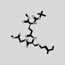 CCC(C)=CCSC[C@H](NC(=O)CC[C@H](NC(=O)OC(C)(C)C)C(=O)OC)C(=O)NCC(=O)OC